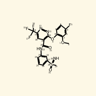 COc1cc(F)ccc1Oc1nnc(C(F)(F)F)cc1C(=O)Nc1cccc(S(C)(=N)=O)c1